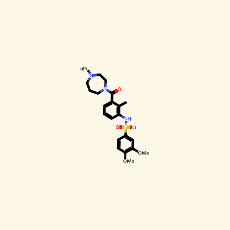 CCCN1CCCN(C(=O)c2cccc(NS(=O)(=O)c3ccc(OC)c(OC)c3)c2C)CC1